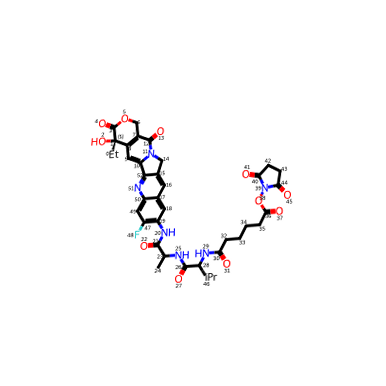 CC[C@@]1(O)C(=O)OCc2c1cc1n(c2=O)Cc2cc3cc(NC(=O)C(C)NC(=O)C(NC(=O)CCCCC(=O)ON4C(=O)CCC4=O)C(C)C)c(F)cc3nc2-1